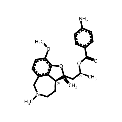 C=C[C@@]12CCN(C)Cc3ccc(OC)c(c31)OC2C[C@H](C)OC(=O)c1ccc(N)cc1